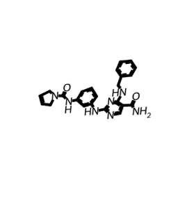 NC(=O)c1cnc(Nc2cccc(NC(=O)N3CC=CC3)c2)nc1NCc1ccccc1